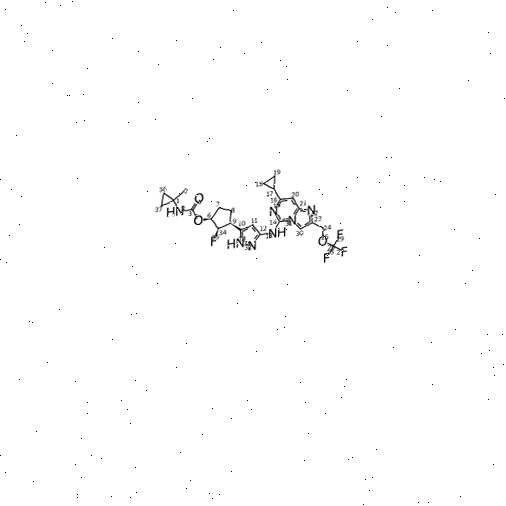 CC1(NC(=O)O[C@H]2CC[C@@H](c3cc(Nc4nc(C5CC5)cc5nc(COC(F)(F)F)cn45)n[nH]3)[C@H]2F)CC1